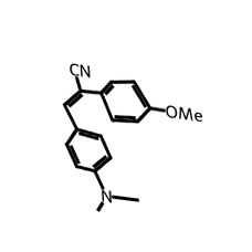 COc1ccc(/C(C#N)=C\c2ccc(N(C)C)cc2)cc1